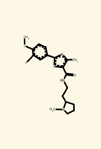 COc1ccc(-c2nc(C)c(C(=O)NCCC3CCCN3C)s2)cc1F